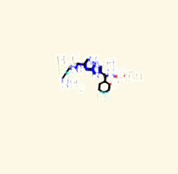 C[C@H](NCC(F)(F)CN)c1cnn2cc([C@@H](NC(=O)OC(C)(C)C)C3CCC(F)(F)CC3)nc2c1